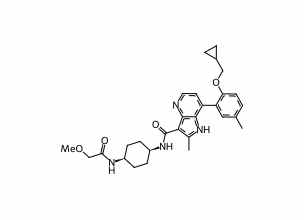 COCC(=O)N[C@H]1CC[C@@H](NC(=O)c2c(C)[nH]c3c(-c4cc(C)ccc4OCC4CC4)ccnc23)CC1